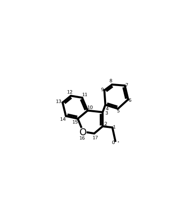 [CH2]CC1=C(c2ccccc2)c2ccccc2OC1